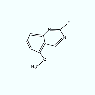 COc1cccc2nc(F)ncc12